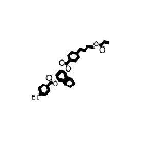 C=CC(=O)OCCCCC1CCC(C(=O)Oc2ccc(OC(=O)C3CCC(CC)CC3)c3c2C2CCC3C2)CC1